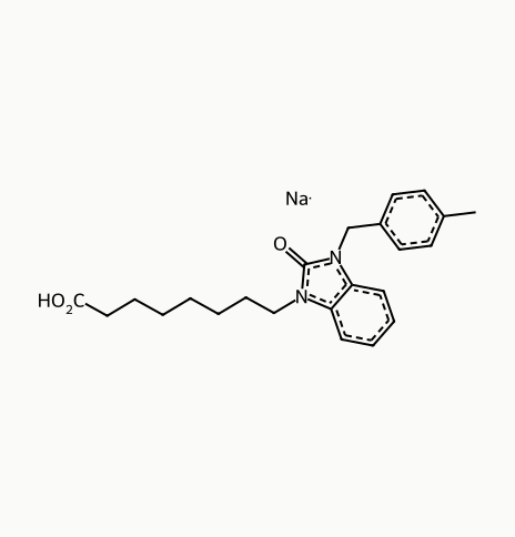 Cc1ccc(Cn2c(=O)n(CCCCCCCC(=O)O)c3ccccc32)cc1.[Na]